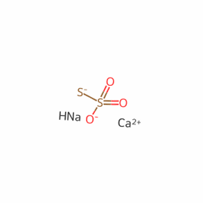 O=S(=O)([O-])[S-].[Ca+2].[NaH]